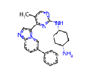 Cc1cnc(N[C@H]2CC[C@@H](N)CC2)nc1-c1cnc2ccc(-c3ccccc3)cn12